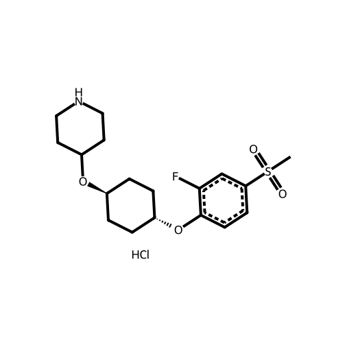 CS(=O)(=O)c1ccc(O[C@H]2CC[C@H](OC3CCNCC3)CC2)c(F)c1.Cl